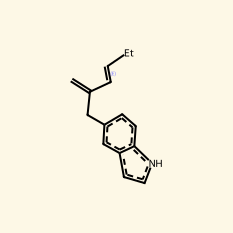 C=C(/C=C/CC)Cc1ccc2[nH]ccc2c1